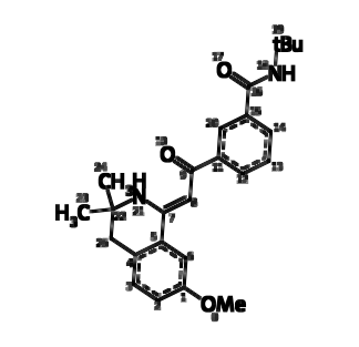 COc1ccc2c(c1)C(=CC(=O)c1cccc(C(=O)NC(C)(C)C)c1)NC(C)(C)C2